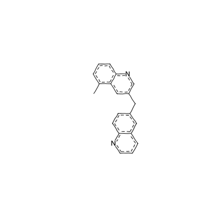 Cc1cccc2ncc(Cc3ccc4ncccc4c3)cc12